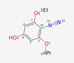 CCCOc1cc(O)cc(OCC)c1[N+]#N